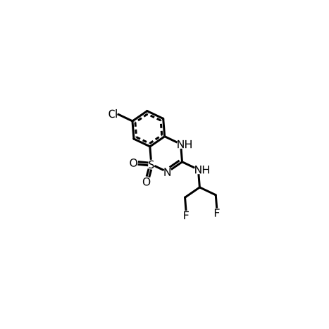 O=S1(=O)N=C(NC(CF)CF)Nc2ccc(Cl)cc21